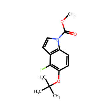 COC(=O)n1ccc2c(F)c(OC(C)(C)C)ccc21